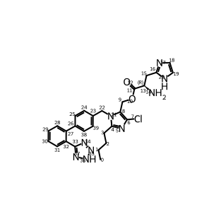 CCCCc1nc(Cl)c(COC(=O)[C@H](N)Cc2ncc[nH]2)n1Cc1ccc(-c2ccccc2-c2nn[nH]n2)cc1